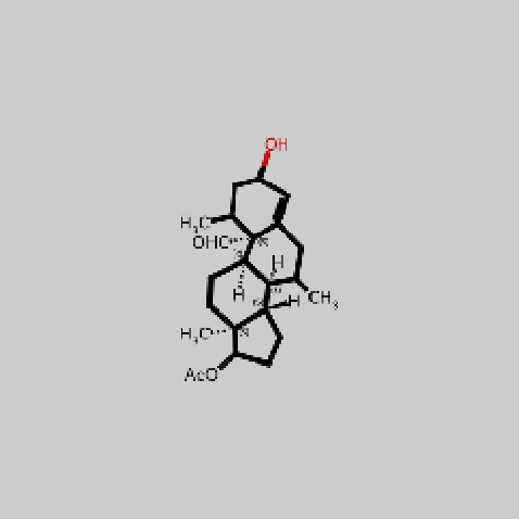 CC(=O)OC1CC[C@H]2[C@@H]3C(C)CC4=CC(O)CC(C)[C@]4(C=O)[C@@H]3CC[C@]12C